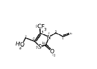 C=CCn1c(C(F)(F)F)c(CO)sc1=O